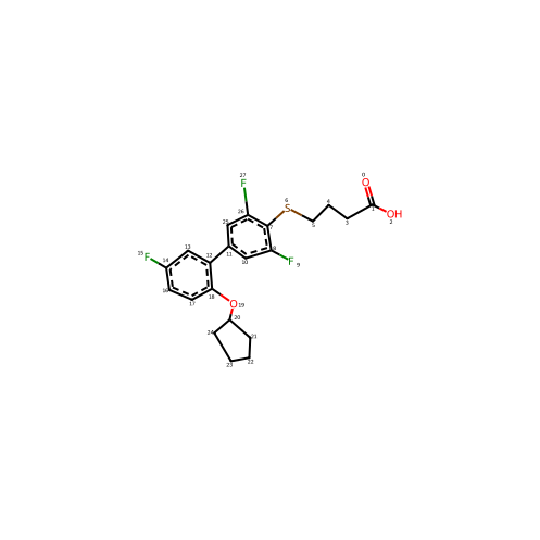 O=C(O)CCCSc1c(F)cc(-c2cc(F)ccc2OC2CCCC2)cc1F